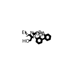 CCCCc1nc(SCC)c(CO)n1-c1cccc(-c2ccccc2C(=O)O)c1C